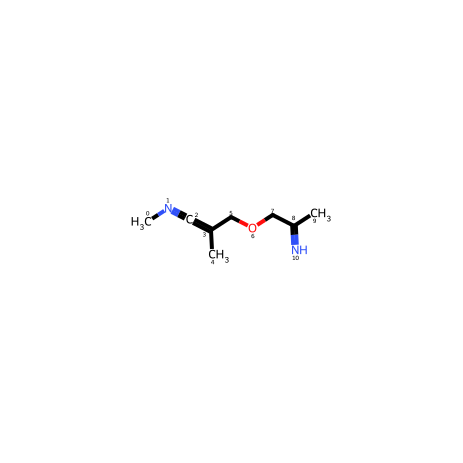 CN=C=C(C)COCC(C)=N